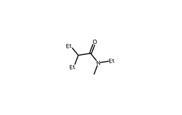 CCC(CC)C(=O)N(C)CC